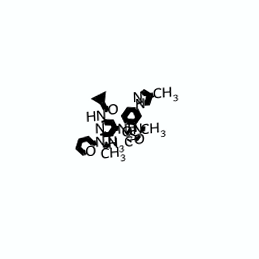 Cc1cnn(-c2ccc(Nc3cc(NC(=O)C4CC4)nc4c3nc(C)n4C3CCCCO3)c(N(C)S(C)(=O)=O)c2)c1